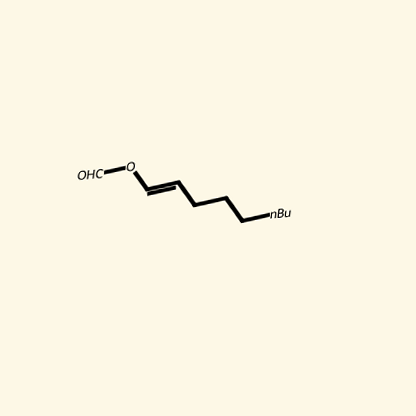 CCCCCCCC=COC=O